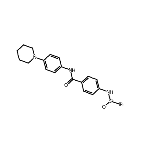 CC(C)[S+]([O-])Nc1ccc(C(=O)Nc2ccc(N3CCCCC3)cc2)cc1